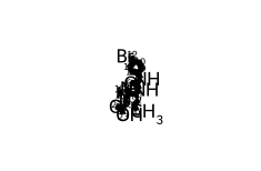 CCC[C@H](NC(=O)Nc1ccc(Br)cc1)c1nccn1CC(=O)O